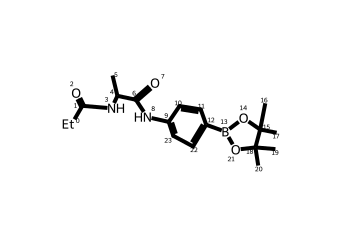 CCC(=O)NC(C)C(=O)Nc1ccc(B2OC(C)(C)C(C)(C)O2)cc1